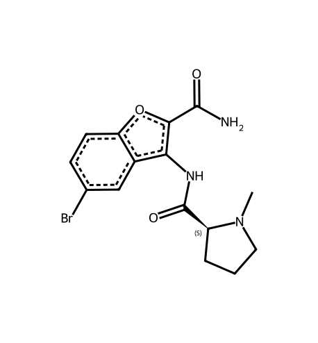 CN1CCC[C@H]1C(=O)Nc1c(C(N)=O)oc2ccc(Br)cc12